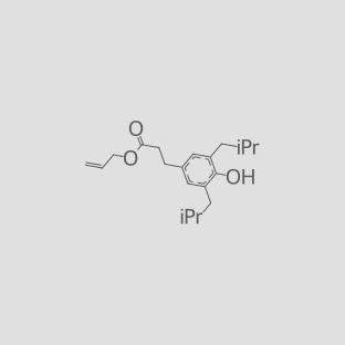 C=CCOC(=O)CCc1cc(CC(C)C)c(O)c(CC(C)C)c1